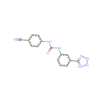 N#Cc1ccc(NC(=O)Nc2cccc(-c3nnn[nH]3)c2)cc1